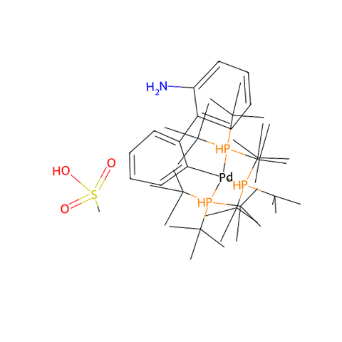 CC(C)(C)[PH](C(C)(C)C)(C(C)(C)C)[Pd]([c]1ccccc1-c1ccccc1N)([PH](C(C)(C)C)(C(C)(C)C)C(C)(C)C)[PH](C(C)(C)C)(C(C)(C)C)C(C)(C)C.CS(=O)(=O)O